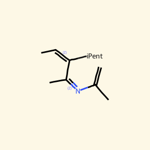 C=C(C)/N=C(C)\C(=C/C)C(C)CCC